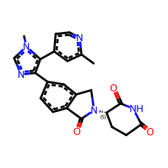 Cc1cc(-c2c(-c3ccc4c(c3)CN([C@H]3CCC(=O)NC3=O)C4=O)ncn2C)ccn1